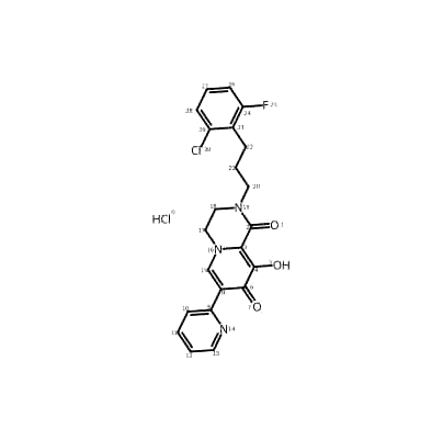 Cl.O=C1c2c(O)c(=O)c(-c3ccccn3)cn2CCN1CCCc1c(F)cccc1Cl